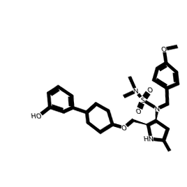 COc1ccc(CN([C@H]2CC(C)N[C@H]2COC2CCC(c3cccc(O)c3)CC2)S(=O)(=O)N(C)C)cc1